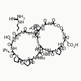 CC[C@H](C)[C@@H]1NC(=O)NC(=O)COOCNC(=O)[C@H](CC(=O)O)NC(=O)[C@@H]2CCCN2C(=O)[C@H]([C@@H](C)CC)NC(=O)[C@H]2NC(=O)[C@H]([C@@H](C)CC)NC(=O)[C@@H]3CCCN3C(=O)[C@@H]3CCCN3C(=O)[C@H](CC(C)C)NC(=O)[C@H](CO)NC(=O)[C@H](CCCNC(=N)N)NC(=O)[C@H](CO)NC(=O)[C@@H](NC1=O)SS2